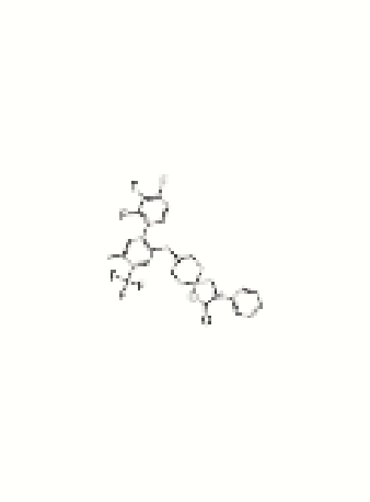 Cc1cc(-c2ccc(F)c(F)c2F)c(CN2CCC3(CC2)CN(c2ccccc2)C(=O)O3)cc1C(F)(F)F